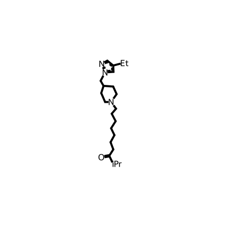 CCc1cnn(CC2CCN(CCCCCCCC(=O)C(C)C)CC2)c1